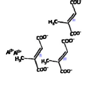 C/C(=C\C(=O)[O-])C(=O)[O-].C/C(=C\C(=O)[O-])C(=O)[O-].C/C(=C\C(=O)[O-])C(=O)[O-].[Al+3].[Al+3]